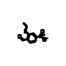 CCSc1cc([N+](=O)[O-])ccc1C=O